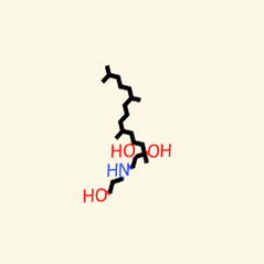 CC(C)CCCC(C)CCCC(C)CCCC(C)(O)C(O)CNCCCO